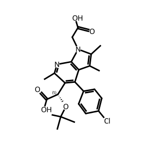 Cc1nc2c(c(C)c(C)n2CC(=O)O)c(-c2ccc(Cl)cc2)c1[C@H](OC(C)(C)C)C(=O)O